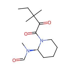 CCC(C)(C)C(=O)C(=O)N1CCCC[C@H]1N(C)C=O